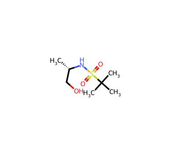 C[C@@H](CO)NS(=O)(=O)C(C)(C)C